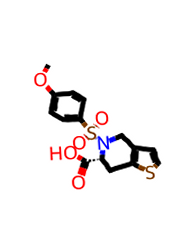 COc1ccc(S(=O)(=O)N2Cc3ccsc3C[C@@H]2C(=O)O)cc1